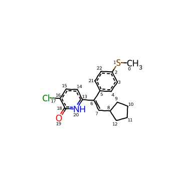 CSc1ccc(/C(=C\C2CCCC2)c2ccc(Cl)c(=O)[nH]2)cc1